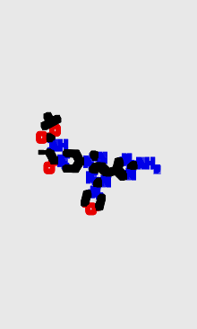 C[C@H](NC(=O)OC(C)(C)C)C(=O)N1CCC(n2cnc3c(-c4cnc(N)nc4)nc(N4CCOCC4)nc32)CC1